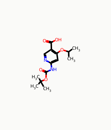 CC(C)Oc1cc(NC(=O)OC(C)(C)C)ncc1C(=O)O